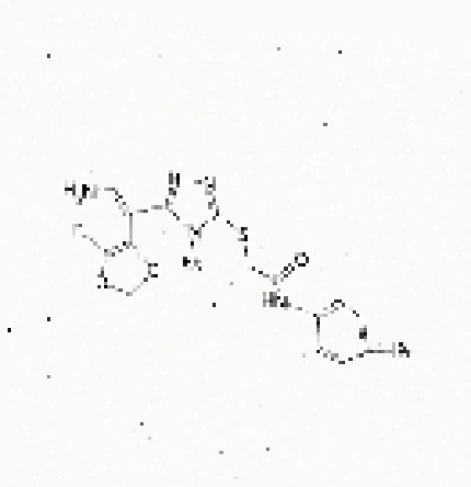 CCn1c(SCC(=O)Nc2ccc(C(C)C)cc2)nnc1/C(=C/N)C1=C(F)OCO1